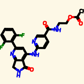 CC(=O)OCCNC(=O)c1ccc(Nc2cc(-c3c(F)cccc3F)nc3c2C(=O)NC3)nc1